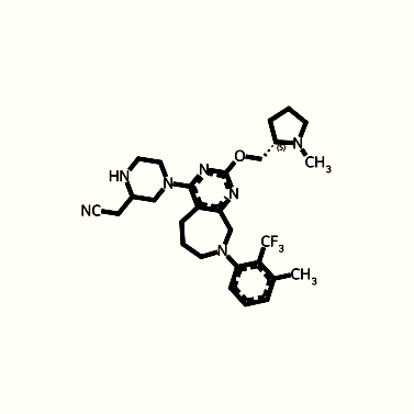 Cc1cccc(N2CCCc3c(nc(OC[C@@H]4CCCN4C)nc3N3CCNC(CC#N)C3)C2)c1C(F)(F)F